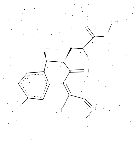 C=C(/C=C(Cl)\C=N/C)[C@H](CC(C)C(=O)OC)[C@H](O)c1ccc(Cl)cc1